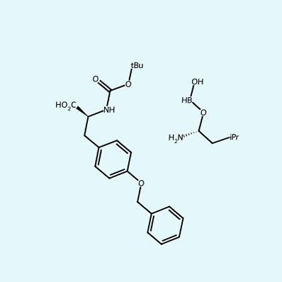 CC(C)(C)OC(=O)N[C@@H](Cc1ccc(OCc2ccccc2)cc1)C(=O)O.CC(C)C[C@H](N)OBO